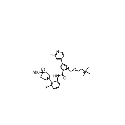 CCCCC1(CC)CCN(c2c(F)cccc2NC(=O)c2nc(-c3ccnc(C)c3)cn2COCC[Si](C)(C)C)CC1